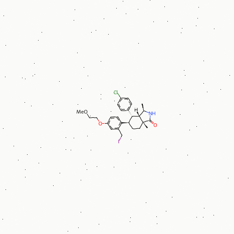 COCCOc1ccc([C@@H]2CC[C@@]3(C)C(=O)N[C@H](C)[C@H]3[C@H]2c2ccc(Cl)cc2)c(CI)c1